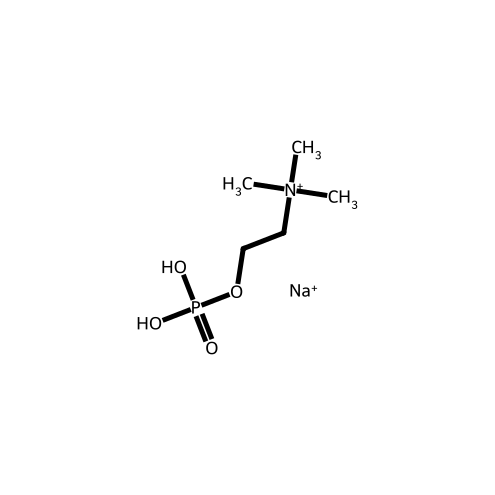 C[N+](C)(C)CCOP(=O)(O)O.[Na+]